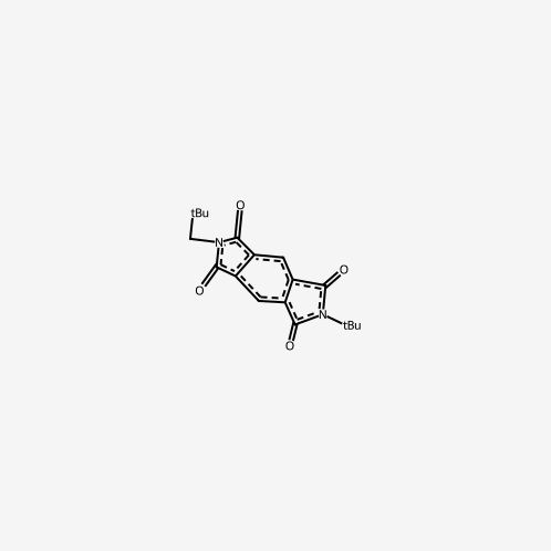 CC(C)(C)Cn1c(=O)c2cc3c(=O)n(C(C)(C)C)c(=O)c3cc2c1=O